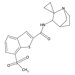 CS(=O)(=O)c1cccc2cc(C(=O)NC3C4CCN(CC4)C34CC4)sc12